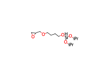 CC(C)O[SiH](OCCCCOCC1CO1)OC(C)C